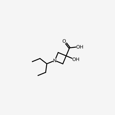 CCC(CC)N1CC(O)(C(=O)O)C1